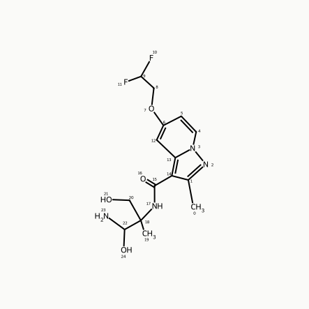 Cc1nn2ccc(OCC(F)F)cc2c1C(=O)NC(C)(CO)C(N)O